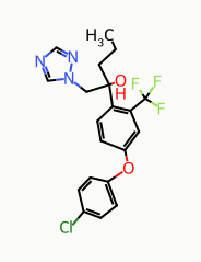 CCCC(O)(Cn1cncn1)c1ccc(Oc2ccc(Cl)cc2)cc1C(F)(F)F